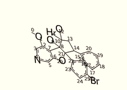 COc1cncc2c1C1(O)C3(CO3)CC(c3ccccc3)C1(c1ccc(Br)cc1)O2